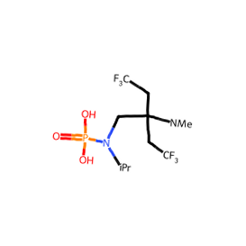 CNC(CN(C(C)C)P(=O)(O)O)(CC(F)(F)F)CC(F)(F)F